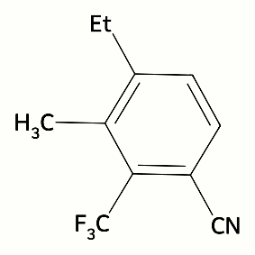 CCc1ccc(C#N)c(C(F)(F)F)c1C